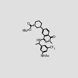 CC(=O)Nc1cc(C(C)Nc2nn(C)c(=O)c3ccc(C4CCCN(C(=O)OC(C)(C)C)C4)cc23)cc(C(F)(F)F)c1